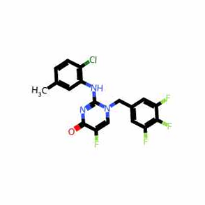 Cc1ccc(Cl)c(Nc2nc(=O)c(F)cn2Cc2cc(F)c(F)c(F)c2)c1